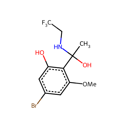 COc1cc(Br)cc(O)c1C(C)(O)NCC(F)(F)F